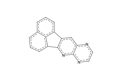 c1cc2c3c(cccc3c1)-c1nc3nccnc3cc1-2